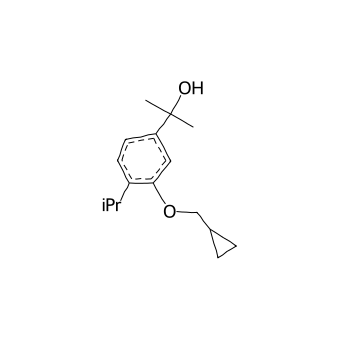 CC(C)c1ccc(C(C)(C)O)cc1OCC1CC1